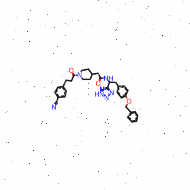 N#Cc1ccc(CCC(=O)N2CCC(CC(=O)NC(Cc3ccc(OCc4ccccc4)cc3)c3nn[nH]n3)CC2)cc1